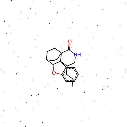 CCCC1CNC(=O)C23CCC(CC2)C2Oc4ccccc4C123